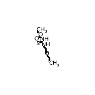 CCCCOCCCNC(=S)NC(=O)OCC